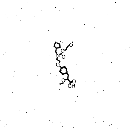 CCOC(Cc1ccc(OCCN(CC2CCCC2)C(=O)OCCOC)cc1)C(=O)O